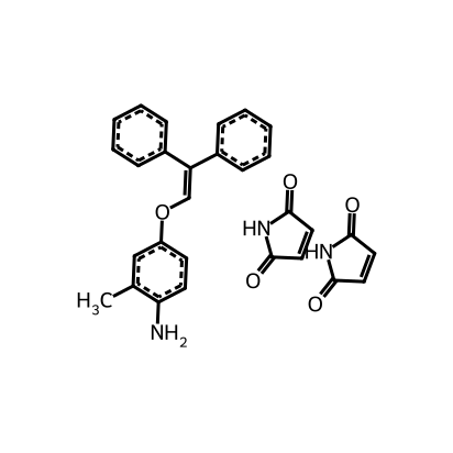 Cc1cc(OC=C(c2ccccc2)c2ccccc2)ccc1N.O=C1C=CC(=O)N1.O=C1C=CC(=O)N1